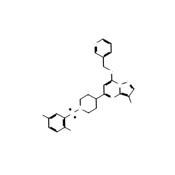 Cc1ccc(F)cc1S(=O)(=O)N1CCC(c2cc(NCc3cccnc3)n3ncc(Br)c3n2)CC1